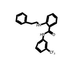 O=C(Nc1cccc(C(F)(F)F)c1)c1ccccc1NCCc1ccccc1